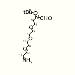 CC(C)(C)ON(C=O)CCOCCOCCOCCN